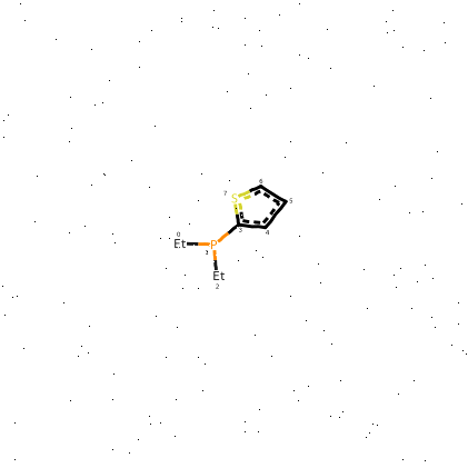 CCP(CC)c1cccs1